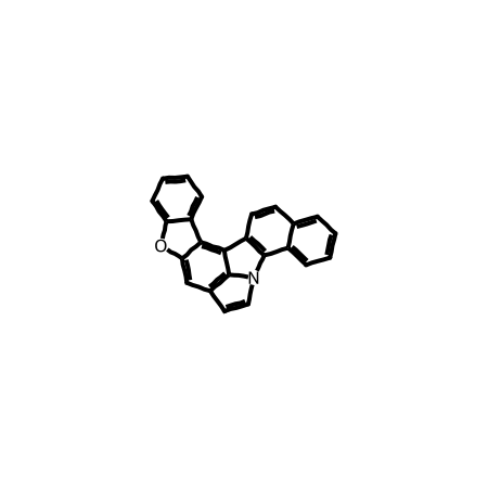 c1ccc2c(c1)ccc1c3c4c(cc5ccn(c21)c53)oc1ccccc14